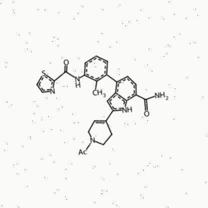 CC(=O)N1CC=C(c2cc3c(-c4cccc(NC(=O)c5nccs5)c4C)ccc(C(N)=O)c3[nH]2)CC1